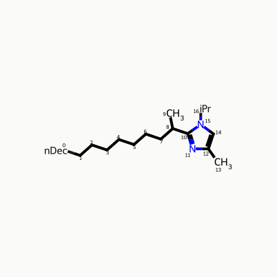 CCCCCCCCCCCCCCCCCC(C)c1nc(C)cn1C(C)C